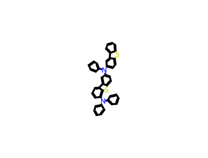 c1ccc(N(c2ccc3sc4ccccc4c3c2)c2ccc3sc4c(N(c5ccccc5)c5ccccc5)cccc4c3c2)cc1